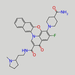 CN1CCCC1CCNC(=O)c1cn2c3c(c(N4CCC(C(N)=O)CC4)c(F)cc3c1=O)Oc1cc3ccccc3cc1-2